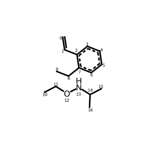 C=Cc1ccccc1CC.CCONC(C)C